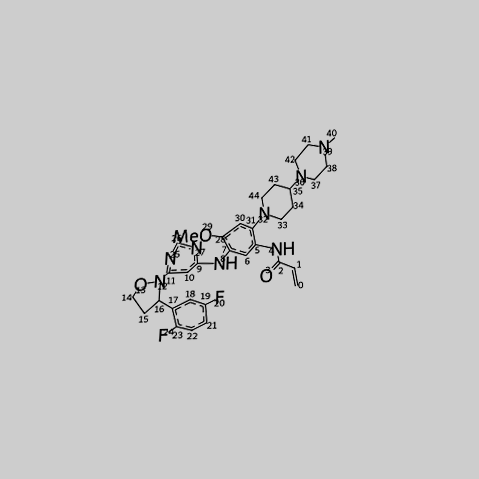 C=CC(=O)Nc1cc(Nc2cc(N3OCCC3c3cc(F)ccc3F)ncn2)c(OC)cc1N1CCC(N2CCN(C)CC2)CC1